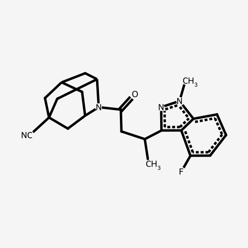 CC(CC(=O)N1C2CC3CC1CC(C#N)(C3)C2)c1nn(C)c2cccc(F)c12